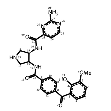 COc1cccc(C(=O)c2ccc(C(=O)NC3CNC[C@H]3NC(=O)c3ccnc(N)n3)cc2)c1O